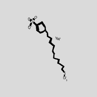 O=S(=O)([O-])c1ccc(CCCCCCCCCCCCSC(F)(F)F)cc1.[Na+]